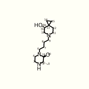 C[C@@H]1NCCN(CCCCN2CCC3(CC3)[C@H](O)C2)C1=O